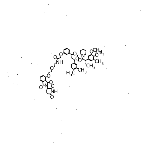 CC[C@H](C(=O)N1CCCC[C@H]1C(=O)OC(CCc1ccc(C)c(C)c1)c1cccc(OCC(=O)NCCOCCOc2cccc3c2C(=O)N(C2CCC(=O)NC2=O)C3=O)c1)c1cc(C)c(OC)c(OC)c1